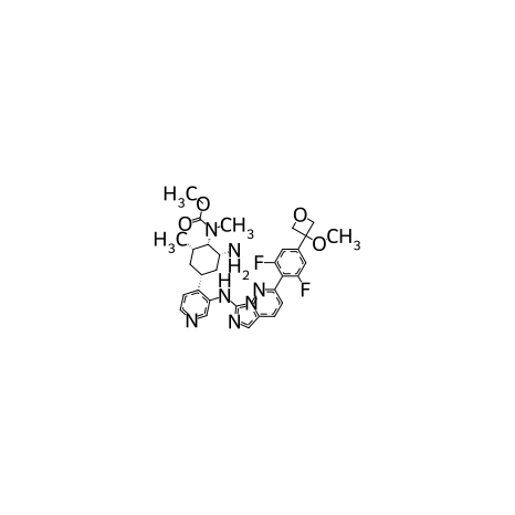 COC(=O)N(C)[C@@H]1[C@H](N)C[C@H](c2ccncc2Nc2ncc3ccc(-c4c(F)cc(C5(OC)COC5)cc4F)nn23)C[C@@H]1C